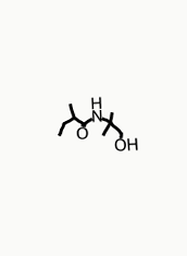 CCC(C)C(=O)NC(C)(C)CO